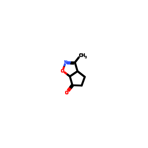 CC1=NOC2C(=O)CCC12